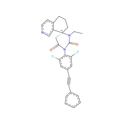 CCN1C(=O)N(c2c(F)cc(C#Cc3ccccc3)cc2F)C(=O)C[C@]12CCCc1ccncc12